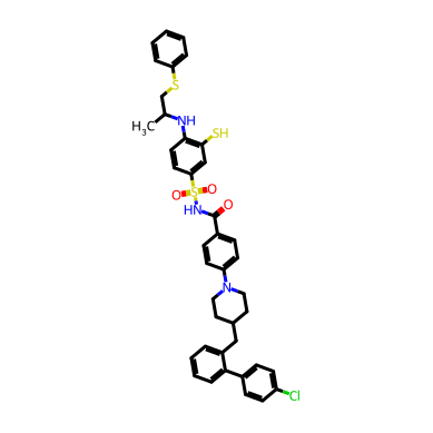 CC(CSc1ccccc1)Nc1ccc(S(=O)(=O)NC(=O)c2ccc(N3CCC(Cc4ccccc4-c4ccc(Cl)cc4)CC3)cc2)cc1S